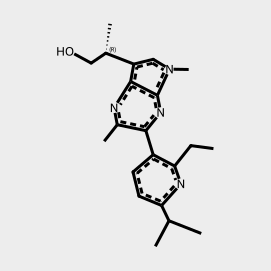 CCc1nc(C(C)C)ccc1-c1nc2c(nc1C)c([C@@H](C)CO)cn2C